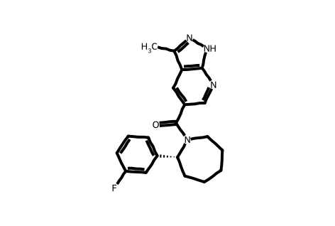 Cc1n[nH]c2ncc(C(=O)N3CCCCC[C@@H]3c3cccc(F)c3)cc12